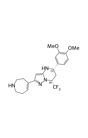 COc1ccc([C@@H]2C[C@H](C(F)(F)F)n3nc(C4=CCCNCC4)cc3N2)cc1OC